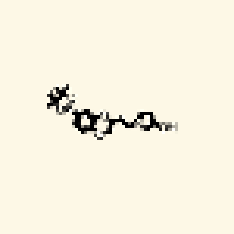 CC1(C)OB(c2ccc3c(c2)OC(CCN2CCC(O)C2)CO3)OC1(C)C